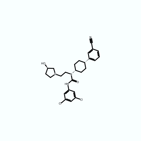 N#Cc1cccc([C@H]2CC[C@@H](N(CCN3CC[C@@H](O)C3)C(=O)Nc3cc(Cl)cc(Cl)c3)CC2)c1